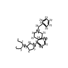 CCN(CC)C1CCN(c2ncnc3c2CCN(Cc2ccccc2)C3)C1